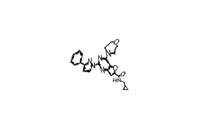 O=C(NCC1CC1)c1cc2nc(-n3ccc(-c4ccccc4)n3)nc(N3CCOCC3)c2o1